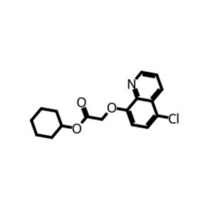 O=C(COc1ccc(Cl)c2cccnc12)OC1CCCCC1